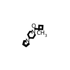 CC1(C(=O)N2CCC(n3cccc3)CC2)CCC1